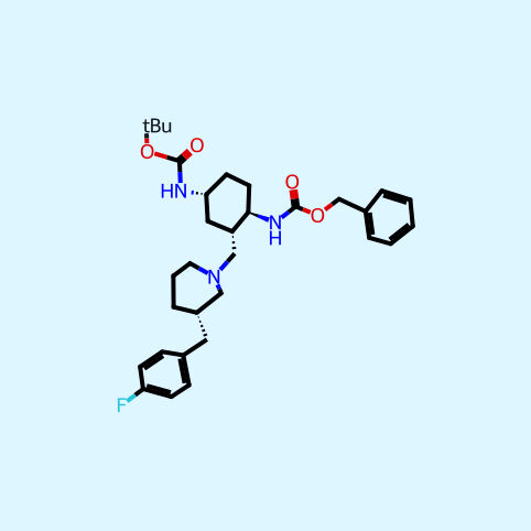 CC(C)(C)OC(=O)N[C@@H]1CC[C@@H](NC(=O)OCc2ccccc2)[C@H](CN2CCC[C@@H](Cc3ccc(F)cc3)C2)C1